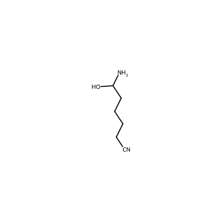 N#CCCCCC(N)O